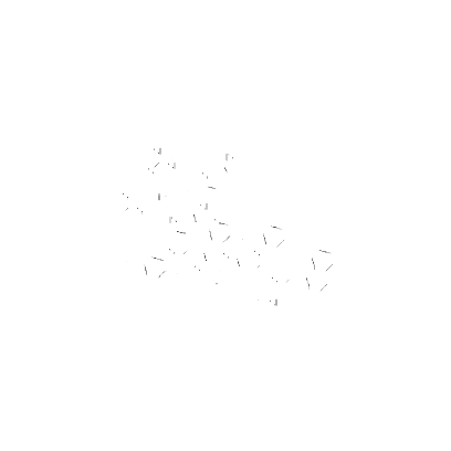 CC(=O)N[C@H](Cc1ccc2ccccc2c1)C(=O)N[C@H](Cc1ccc(O)cc1)C(=O)N[C@H](Cc1cccnc1)C(=O)N[C@@H](CO)C(=O)N[C@@H](Cc1ccc(O)cc1)C(=O)N[C@H](CCCNC(N)=O)C(=O)N[C@@H](CC(C)C)C(=O)N[C@@H](CCCNC(=N)N)C(=O)N1CCC[C@H]1C(=O)N[C@H](C)C(=O)O